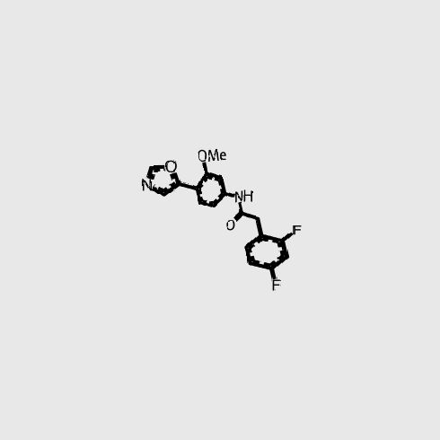 COc1cc(NC(=O)Cc2ccc(F)cc2F)ccc1-c1cnco1